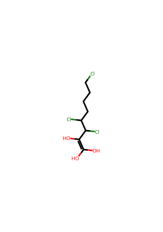 OC(O)=C(O)C(Cl)C(Cl)CCCCCl